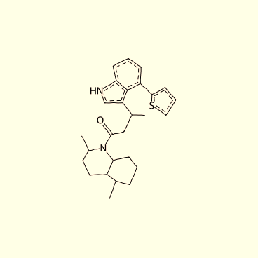 CC(CC(=O)N1C(C)CCC2C(C)CCCC21)c1c[nH]c2cccc(-c3cccs3)c12